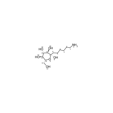 NCCCCCC[C@@]1(O)O[C@H](CO)[C@@H](O)[C@H](O)[C@H]1O